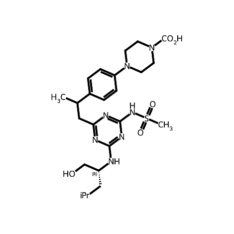 CC(C)C[C@H](CO)Nc1nc(CC(C)c2ccc(N3CCN(C(=O)O)CC3)cc2)nc(NS(C)(=O)=O)n1